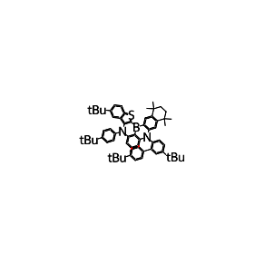 Cc1cc2c3c(c1)N(c1ccc(C(C)(C)C)cc1)c1c(sc4ccc(C(C)(C)C)cc14)B3c1cc3c(cc1N2c1ccc(C(C)(C)C)cc1-c1ccc(C(C)(C)C)cc1)C(C)(C)CCC3(C)C